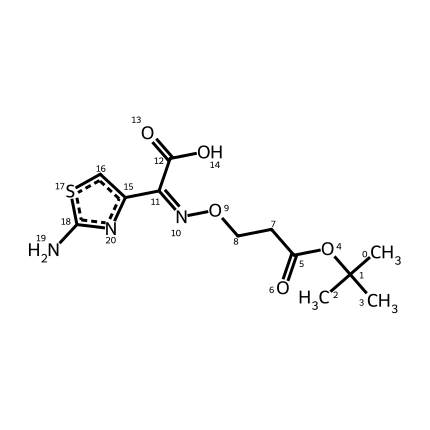 CC(C)(C)OC(=O)CCO/N=C(\C(=O)O)c1csc(N)n1